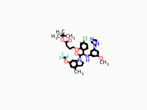 COc1cc(NC(C(=O)N2CCc3c(C)cc(OC(F)(F)F)cc32)c2ccc(Cl)cc2OCCCC(=O)OC(C)(C)C)cc(-n2cncn2)c1